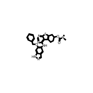 CN(C)C(=O)OC1CCc2c(sc3ncnc(Nc4cc5cn[nH]c5cc4OCc4ccccc4)c23)C1